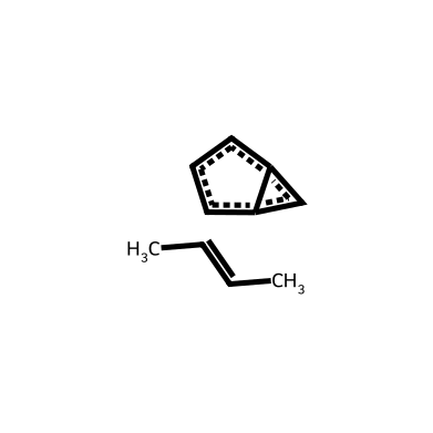 CC=CC.c1cc2cc-2c1